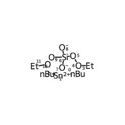 CCC[CH2][Sn+2][CH2]CCC.CCOO[Si]([O-])([O-])OOCC